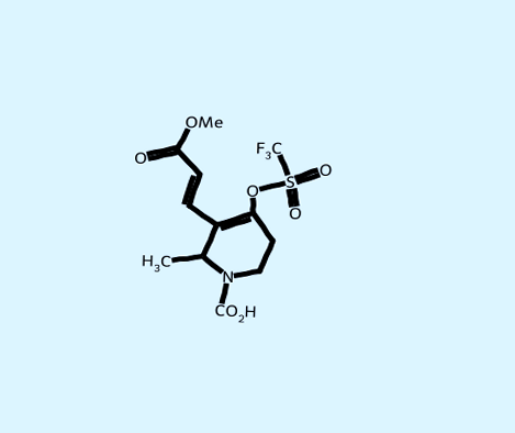 COC(=O)C=CC1=C(OS(=O)(=O)C(F)(F)F)CCN(C(=O)O)C1C